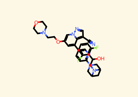 N#Cc1cnn2cc(OCCN3CCOCC3)cc(-c3ccc(N4CC5CC(C4)N5CC(O)c4c(F)cccc4F)nc3)c12